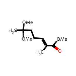 COC(=O)C(C)=CCCC([SiH3])(OC)OC